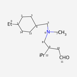 CCC1CCC(CN(C)CC(CC=O)C(C)C)CC1